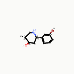 C[C@@H]1CN[C@@H](c2cccc(Br)c2)CC1=O